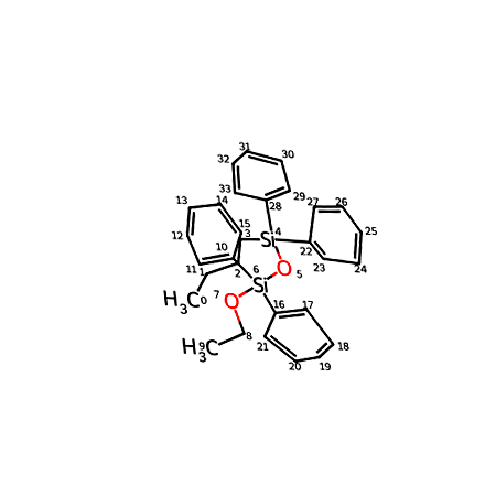 CCCC[Si](O[Si](OCC)(c1ccccc1)c1ccccc1)(c1ccccc1)c1ccccc1